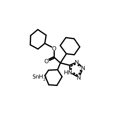 O=C(OC1CCCCC1)C(c1nnn[nH]1)(C1CCCCC1)C1CCCCC1.[SnH2]